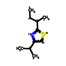 CCC(C)c1nc(C(C)C)cs1